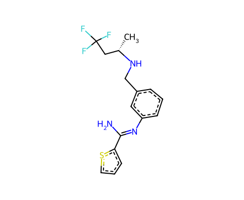 C[C@@H](CC(F)(F)F)NCc1cccc(N=C(N)c2cccs2)c1